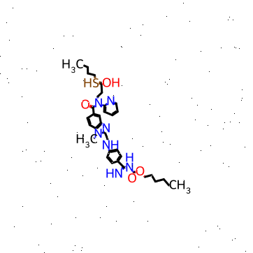 CCCCCCOC(=O)NC(=N)c1ccc(NCc2nc3cc(C(=O)N(CCC(O)=[SH]CCCC)c4ccccn4)ccc3n2C)cc1